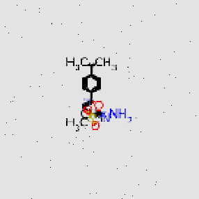 C/C=C(\O/C(=N\N)S(C)(=O)=O)c1ccc(C(C)C)cc1